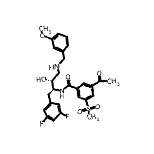 COc1cccc(CNC[C@@H](O)[C@H](Cc2cc(F)cc(F)c2)NC(=O)c2cc(C(C)=O)cc(S(C)(=O)=O)c2)c1